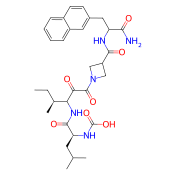 CC[C@H](C)C(NC(=O)[C@H](CC(C)C)NC(=O)O)C(=O)C(=O)N1CC(C(=O)NC(Cc2ccc3ccccc3c2)C(N)=O)C1